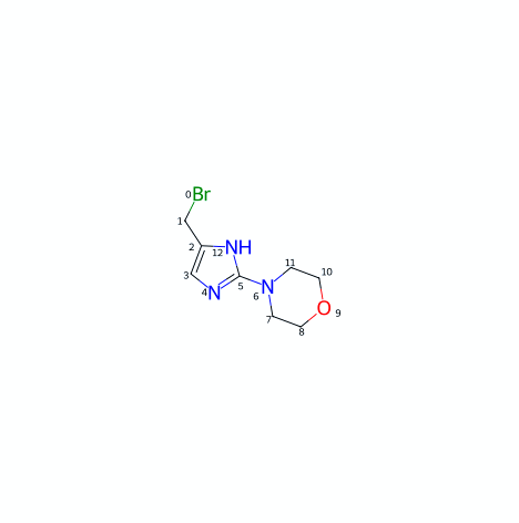 BrCc1cnc(N2CCOCC2)[nH]1